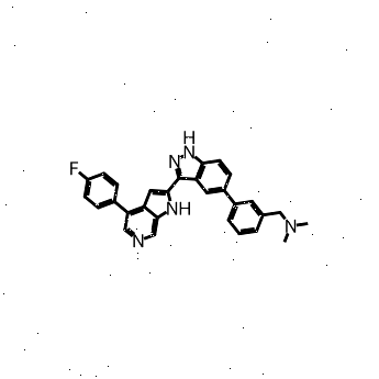 CN(C)Cc1cccc(-c2ccc3[nH]nc(-c4cc5c(-c6ccc(F)cc6)cncc5[nH]4)c3c2)c1